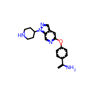 C=C(N)c1ccc(Oc2cc3cnn(C4CCNCC4)c3cn2)cc1